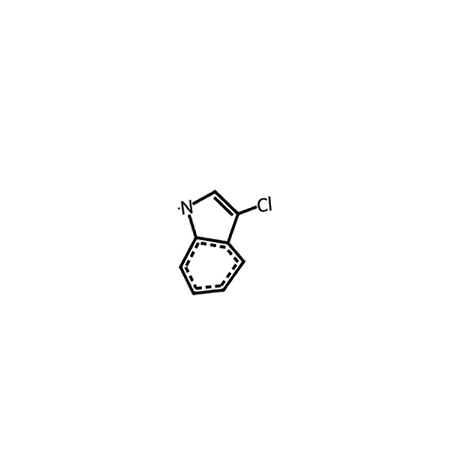 ClC1=C[N]c2ccccc21